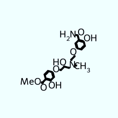 COC(=O)c1ccc(OCC(O)CN(C)CCOc2ccc(O)c(C(N)=O)c2)cc1O